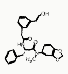 CN(C(=O)[C@H](Cc1ccccc1)NC(=O)Cc1cccc(CCO)c1)c1ccc2c(c1)OCO2